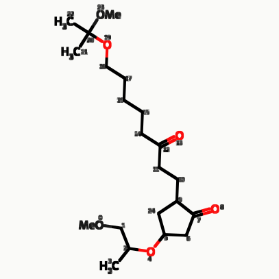 COCC(C)OC1CC(=O)C(CCC(=O)CCCCCOC(C)(C)OC)C1